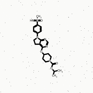 CC(C)OC(=O)N1CCC(Oc2ncnc3c2CCN3c2ccc([S@@](C)(=N)=O)cc2)CC1